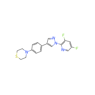 Fc1cnc(-n2cc(-c3ccc(N4CCSCC4)cc3)cn2)c(F)c1